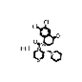 Cl.O=C1CC[C@H](C(=O)N2CCSC[C@H]2CN2CCCCC2)c2cc(Cl)c(Cl)cc21